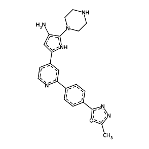 Cc1nnc(-c2ccc(-c3cc(-c4cc(N)c(N5CCNCC5)[nH]4)ccn3)cc2)o1